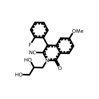 COc1ccc2c(=O)n(CC(O)CO)c(C#N)c(-c3ccccc3F)c2c1